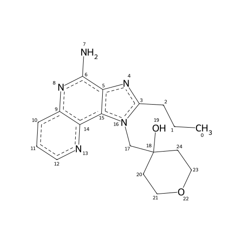 CCCc1nc2c(N)nc3cccnc3c2n1CC1(O)CCOCC1